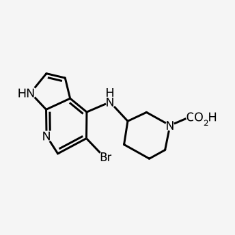 O=C(O)N1CCCC(Nc2c(Br)cnc3[nH]ccc23)C1